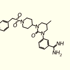 CC1CN(c2cccc(C(=N)N)c2)C(=O)N(C2CCN(S(=O)(=O)Cc3ccccc3)CC2)C1